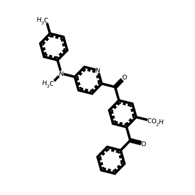 Cc1ccc(N(C)c2ccc(C(=O)c3ccc(C(=O)c4ccccc4)c(C(=O)O)c3)nc2)cc1